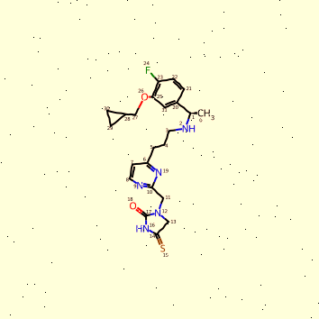 C[C@@H](NCCCc1ccnc(CN2CC(=S)NC2=O)n1)c1ccc(F)c(OCC2CC2)c1